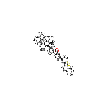 C1=CC2Sc3c(ccc4ccccc34)C2C=C1c1ccc2c(c1)oc1cc(-c3c4ccccc4c(-c4cccc5ccccc45)c4ccccc34)ccc12